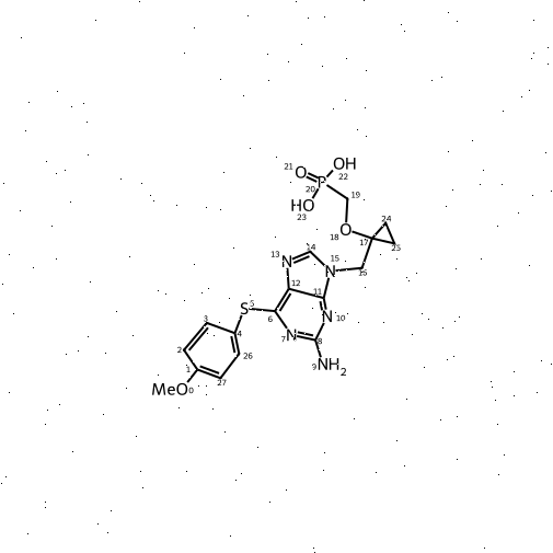 COc1ccc(Sc2nc(N)nc3c2ncn3CC2(OCP(=O)(O)O)CC2)cc1